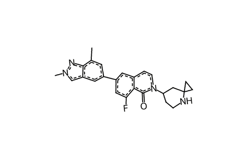 Cc1cc(-c2cc(F)c3c(=O)n(C4CCNC5(CC5)C4)ccc3c2)cc2cn(C)nc12